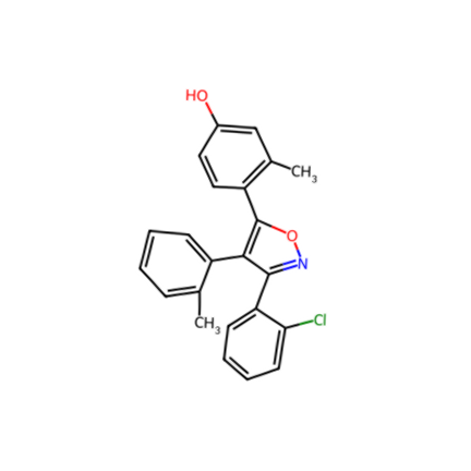 Cc1cc(O)ccc1-c1onc(-c2ccccc2Cl)c1-c1ccccc1C